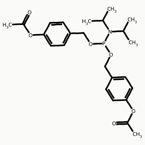 CC(=O)Oc1ccc(COP(OCc2ccc(OC(C)=O)cc2)N(C(C)C)C(C)C)cc1